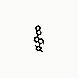 Cc1ccc(C)c(-c2nccc3c(-c4cnc5ccccc5c4)cccc23)c1